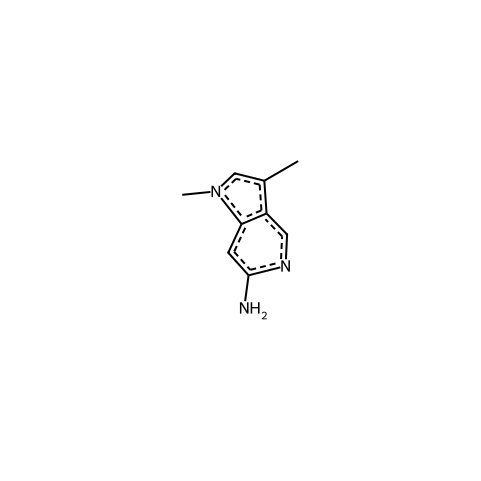 Cc1cn(C)c2cc(N)ncc12